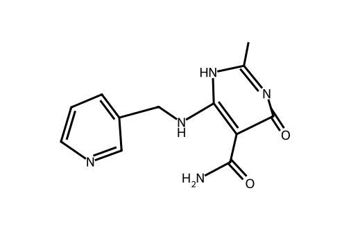 Cc1nc(=O)c(C(N)=O)c(NCc2cccnc2)[nH]1